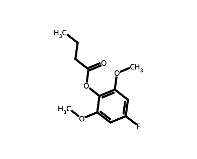 CCCC(=O)Oc1c(OC)cc(F)cc1OC